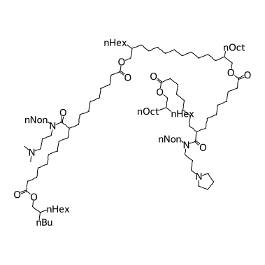 CCCCCCCCCN(CCCN(C)C)C(=O)C(CCCCCCCCC(=O)OCC(CCCC)CCCCCC)CCCCCCCCC(=O)OCC(CCCCCC)CCCCCCCCCCC(CCCCCCCC)COC(=O)CCCCCCCC(CCCCCCCC(=O)OCC(CCCCCC)CCCCCCCC)C(=O)N(CCCCCCCCC)CCCN1CCCC1